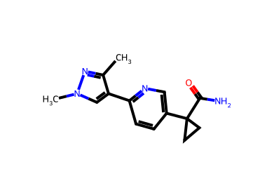 Cc1nn(C)cc1-c1ccc(C2(C(N)=O)CC2)cn1